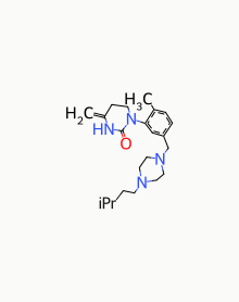 C=C1CCN(c2cc(CN3CCN(CCC(C)C)CC3)ccc2C)C(=O)N1